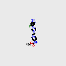 CC(C)(C)OC(=O)NC1CCN(CCN2CCN(c3ccc(N)cc3F)CC2)CC1